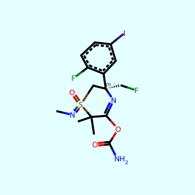 CN=S1(=O)C[C@@](CF)(c2cc(I)ccc2F)N=C(OC(N)=O)C1(C)C